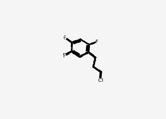 Fc1cc(F)c(CCCCl)cc1F